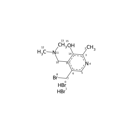 Br.Br.Cc1ncc(CBr)c(CN(C)C)c1O